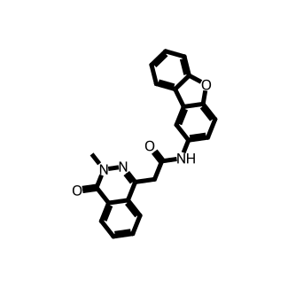 Cn1nc(CC(=O)Nc2ccc3oc4ccccc4c3c2)c2ccccc2c1=O